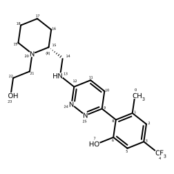 Cc1cc(C(F)(F)F)cc(O)c1-c1ccc(NC[C@H]2CCCCN2CCO)nn1